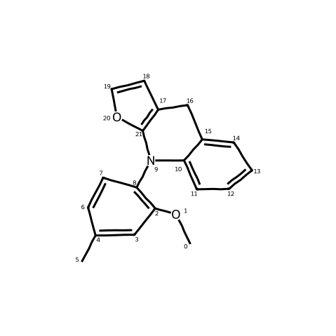 COc1cc(C)ccc1N1c2ccccc2Cc2ccoc21